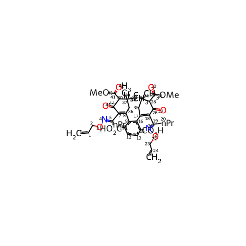 C=CCON=C(CCC)C1=C(c2c(C(=O)O)ccc(C(=O)O)c2C2=C(C(CCC)=NOCC=C)C(=O)C(C(=O)OC)C(C)(C)C2)CC(C)(C)C(C(=O)OC)C1=O